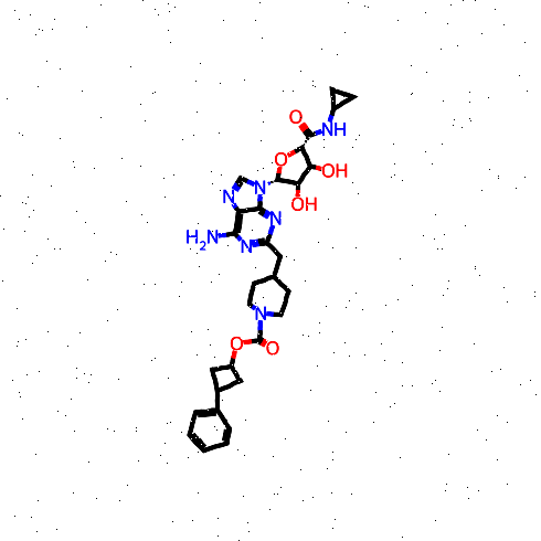 Nc1nc(CC2CCN(C(=O)OC3CC(c4ccccc4)C3)CC2)nc2c1ncn2[C@@H]1O[C@H](C(=O)NC2CC2)C(O)C1O